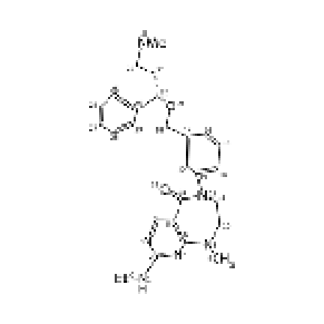 CCNc1ncc2c(n1)N(C)CCN(c1cccc(CO[C@@H](CCNC)c3ccccc3)c1)C2=O